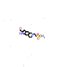 CS(=O)(=O)CCN1CCc2cc3[nH]c(C=O)cc3cc2C1